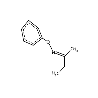 CC/C(C)=N/Oc1ccccc1